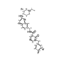 CCN1CC[C@H](Nc2cnc3ccc(CNC(=O)c4cncn(Cc5ccc(F)c(F)c5)c4=O)cc3n2)[C@H](F)C1